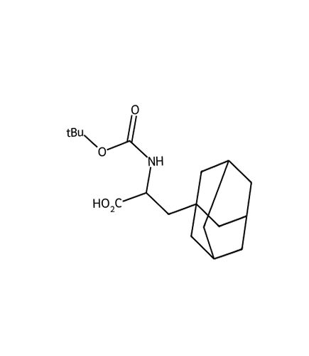 CC(C)(C)OC(=O)NC(CC12CC3CC(CC(C3)C1)C2)C(=O)O